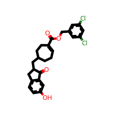 O=C(OCc1cc(Cl)cc(Cl)c1)C1=CCCC(CC2Cc3ccc(O)cc3C2=O)CC1